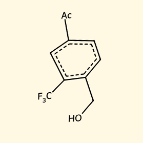 CC(=O)c1ccc(CO)c(C(F)(F)F)c1